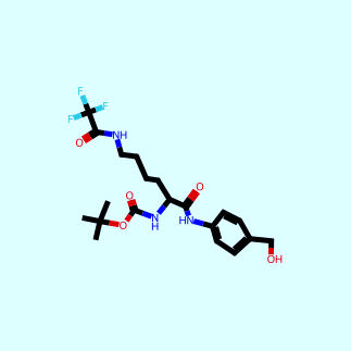 CC(C)(C)OC(=O)NC(CCCCNC(=O)C(F)(F)F)C(=O)Nc1ccc(CO)cc1